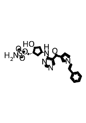 NS(=O)(=O)OC[C@H]1C[C@@H](Nc2ncncc2C(=O)c2ccn(C=Cc3ccccc3)c2)C[C@@H]1O